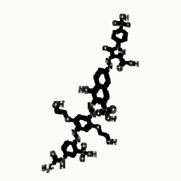 CC(=O)Nc1ccc(/N=N/c2cc(OCCO)c(/N=N/c3c(S(=O)(=O)O)cc4cc(/N=N/C5C(=O)N(c6ccc(S(=O)(=O)O)cc6)N=C5C(=O)O)ccc4c3O)cc2OCCO)c(S(=O)(=O)O)c1